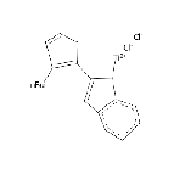 CCCCC1=C(C2=Cc3ccccc3[CH]2[Ti+2])CC=C1.[Cl-].[Cl-]